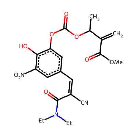 C=C(C(=O)OC)C(C)OC(=O)Oc1cc(C=C(C#N)C(=O)N(CC)CC)cc([N+](=O)[O-])c1O